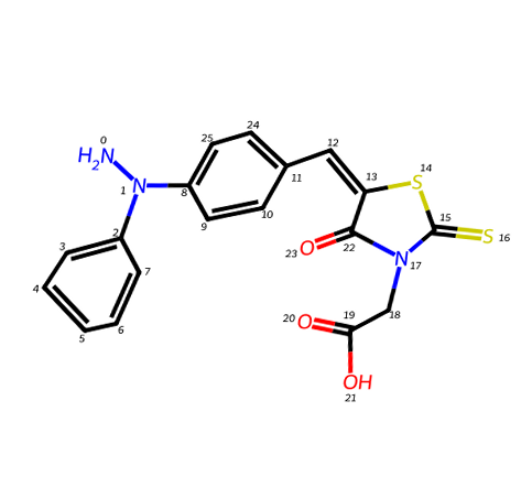 NN(c1ccccc1)c1ccc(C=C2SC(=S)N(CC(=O)O)C2=O)cc1